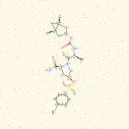 CC(C)(C)[C@H](NC(=O)O[C@@H]1C[C@@H]2C[C@@H]2C1)C(=O)N1C[C@@H](OS(=O)(=O)c2ccc(Br)cc2)C[C@H]1C(N)=O